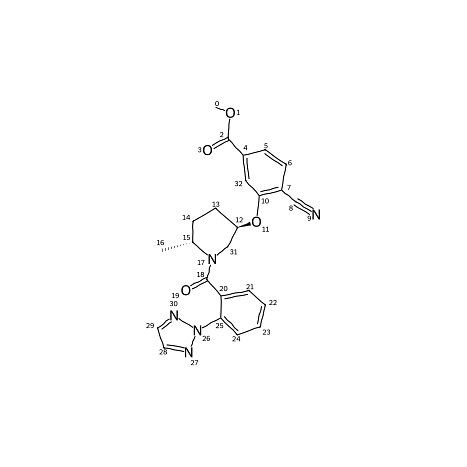 COC(=O)c1ccc(C#N)c(O[C@@H]2CC[C@@H](C)N(C(=O)c3ccccc3-n3nccn3)C2)c1